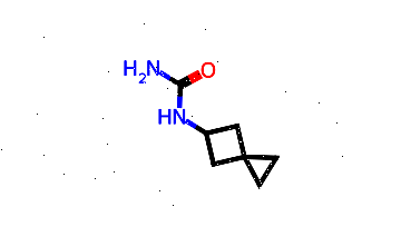 NC(=O)NC1CC2(CC2)C1